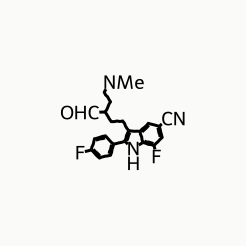 CNCCC(C=O)CCc1c(-c2ccc(F)cc2)[nH]c2c(F)cc(C#N)cc12